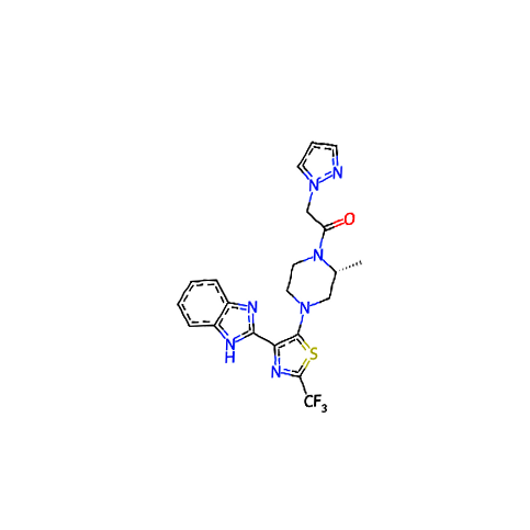 C[C@@H]1CN(c2sc(C(F)(F)F)nc2-c2nc3ccccc3[nH]2)CCN1C(=O)Cn1cccn1